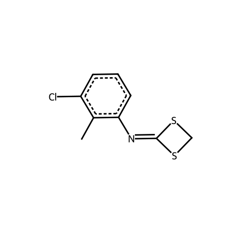 Cc1c(Cl)cccc1N=C1SCS1